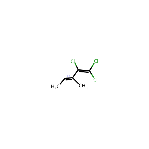 C/C=C(\C)C(Cl)=C(Cl)Cl